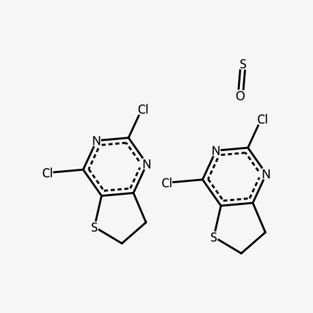 Clc1nc(Cl)c2c(n1)CCS2.Clc1nc(Cl)c2c(n1)CCS2.O=S